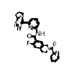 O=C(Nc1cccc(-c2nnc3n2CCC3)n1)c1cc2c(cc1F)CCN(C(=O)c1ccccn1)C2